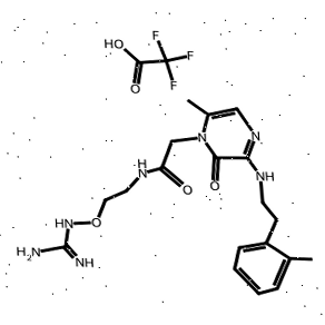 Cc1ccccc1CCNc1ncc(C)n(CC(=O)NCCONC(=N)N)c1=O.O=C(O)C(F)(F)F